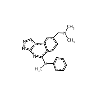 CN(C)Cc1ccc2c(N(C)c3ccccc3)nc3nncn3c2c1